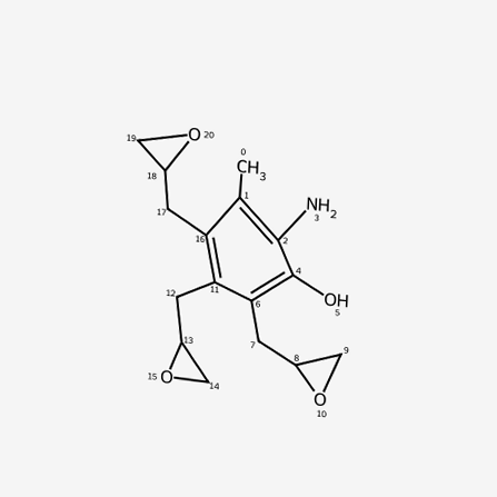 Cc1c(N)c(O)c(CC2CO2)c(CC2CO2)c1CC1CO1